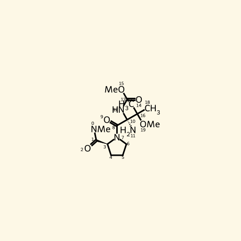 CNC(=O)[C@@H]1CCCN1C(=O)[C@@](N)(NC(=O)OC)C(C)(C)OC